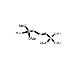 CO[Si](OC)(OC)SSS[Si](OC)(OC)OC